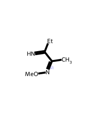 CCC(=N)/C(C)=N\OC